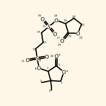 CC1(C)COC(=O)C1OS(=O)(=O)CCCS(=O)(=O)OC1CCOC1=O